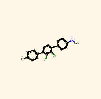 CCCNc1ccc(-c2ccc(-c3ccc(CC)cc3)c(F)c2F)cc1